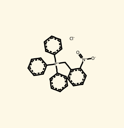 O=[N+]([O-])c1ccccc1C[P+](c1ccccc1)(c1ccccc1)c1ccccc1.[Cl-]